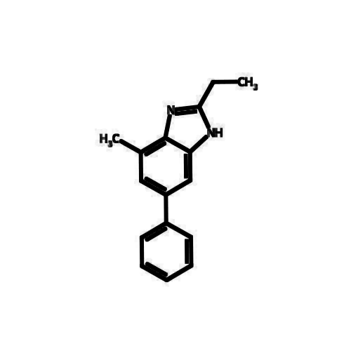 CCc1nc2c(C)cc(-c3ccccc3)cc2[nH]1